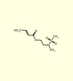 CN(CCOC(=O)/C=C/C(=O)O)S(C)(=O)=O